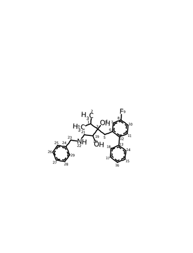 CC(C)C(O)(Cc1cc(F)ccc1-c1ccccc1)C(O)CNCc1ccccc1